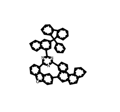 c1ccc(-c2nc(-c3cc(C4(c5ccccc5)c5ccccc5-c5ccccc54)cc4ccccc34)nc(-c3cccc4oc5ccc(-c6ccc7c(ccc8ccccc87)c6)cc5c34)n2)cc1